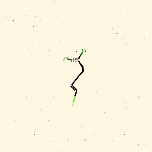 FC=CC[SiH](Cl)Cl